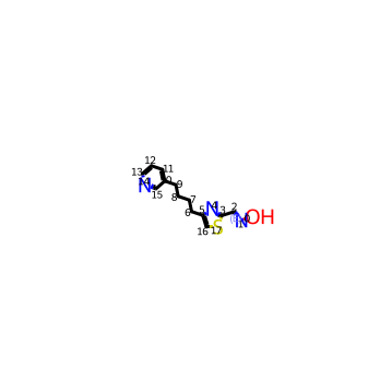 O/N=C/c1nc(CCCCc2cccnc2)cs1